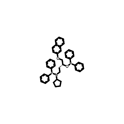 c1ccc(P(O[C@H](CCN(C2CCCC2)P(c2ccccc2)c2ccccc2)COc2ccc3ccccc3c2)c2ccccc2)cc1